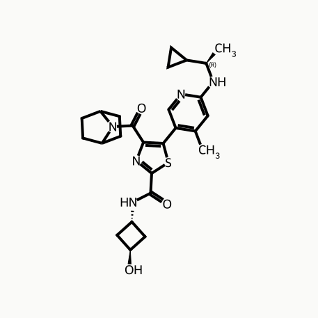 Cc1cc(N[C@H](C)C2CC2)ncc1-c1sc(C(=O)N[C@H]2C[C@H](O)C2)nc1C(=O)N1C2CCC1CC2